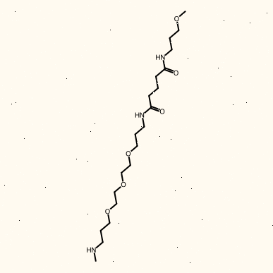 CNCCCOCCOCCOCCCNC(=O)CCCC(=O)NCCCOC